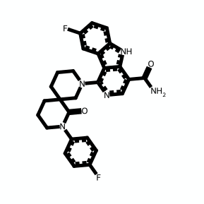 NC(=O)c1cnc(N2CCCC3(CCCN(c4ccc(F)cc4)C3=O)C2)c2c1[nH]c1ccc(F)cc12